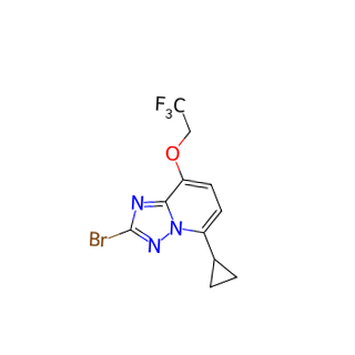 FC(F)(F)COc1ccc(C2CC2)n2nc(Br)nc12